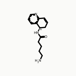 NCCCCC(=O)N[C@@H]1CC=Cc2ncccc21